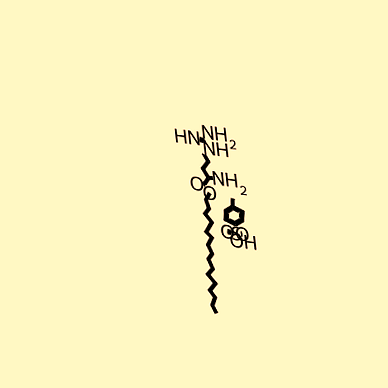 CCCCCCCCCCCCCCCCOC(=O)C(N)CCCNC(=N)N.Cc1ccc(S(=O)(=O)O)cc1